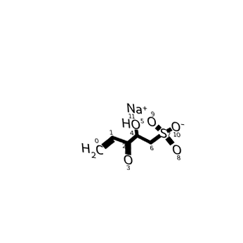 C=CC(=O)C(O)CS(=O)(=O)[O-].[Na+]